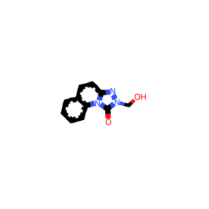 O=c1n(CO)nc2ccc3ccccc3n12